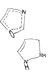 C1=CNNC1.c1cocn1